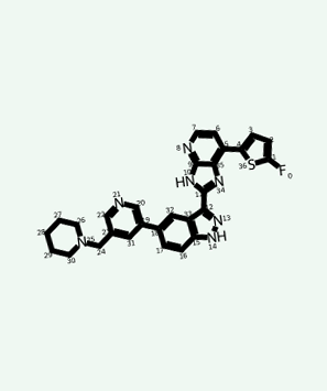 Fc1ccc(-c2ccnc3[nH]c(-c4n[nH]c5ccc(-c6cncc(CN7CCCCC7)c6)cc45)nc23)s1